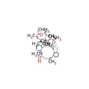 C=CC(=O)/C(C)=C\C[C@H](C)CC(CC(C)C)/C(C1=C2CC=C(C(F)=C1)c1c(F)cccc1/C=C(/C)CCC(O)N(C)C1=CC=C=CC(C(C)C)=C1C2C)=C(\C)C(C)=O